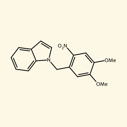 COc1cc(Cn2ccc3ccccc32)c([N+](=O)[O-])cc1OC